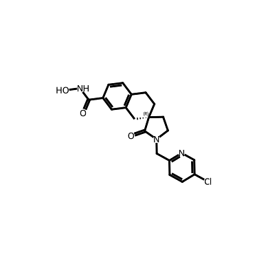 O=C(NO)c1ccc2c(c1)C[C@]1(CC2)CCN(Cc2ccc(Cl)cn2)C1=O